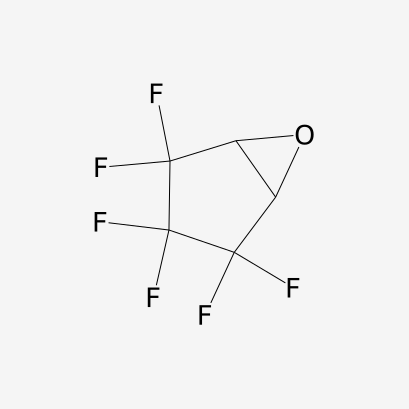 FC1(F)C2OC2C(F)(F)C1(F)F